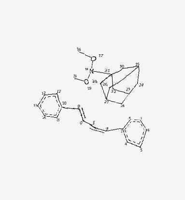 C(C=Cc1ccccc1)=Cc1ccccc1.CON(OC)C12CC3CC(CC(C3)C1)C2